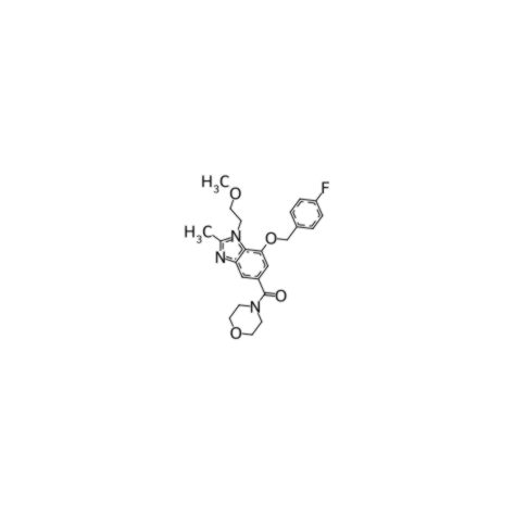 COCCn1c(C)nc2cc(C(=O)N3CCOCC3)cc(OCc3ccc(F)cc3)c21